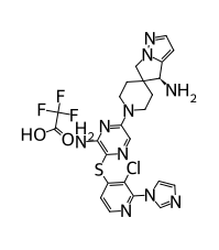 Nc1nc(N2CCC3(CC2)Cn2nccc2[C@H]3N)cnc1Sc1ccnc(-n2ccnc2)c1Cl.O=C(O)C(F)(F)F